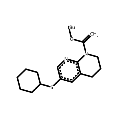 C=C(OC(C)(C)C)N1CCCc2cc(SC3CCCCC3)cnc21